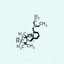 CCN(CC)CC1=CC=C/C(=C/P(C(C)(C)C)C(C)(C)C)N1